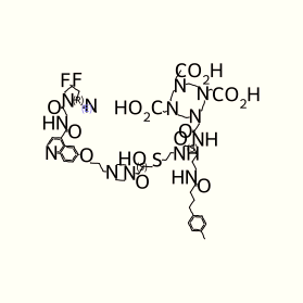 C/N=C/[C@H]1CC(F)(F)CN1C(=O)CNC(=O)c1ccnc2ccc(OCCCN3CCN(C(=O)[C@H](O)CSCCNC(=O)[C@H](CCCNC(=O)CCCc4ccc(C)cc4)NC(=O)CN4CCN(CC(=O)O)CCN(CC(=O)O)CCN(CC(=O)O)CC4)CC3)cc12